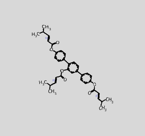 CC(C)/C=C/C(=O)Oc1ccc(-c2ccc(-c3ccc(OC(=O)/C=C/C(C)C)cc3)c(OC(=O)/C=C/C(C)C)c2)cc1